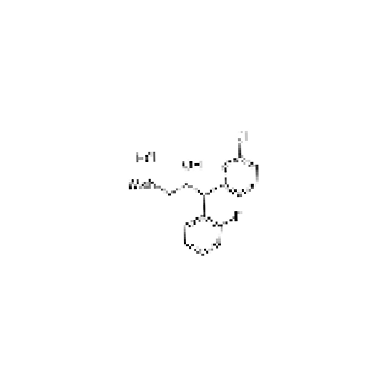 CNCC(O)C(c1cccc(Cl)c1)c1ccccc1F.Cl